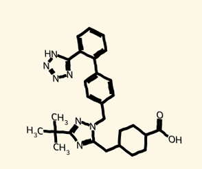 CC(C)(C)c1nc(CC2CCC(C(=O)O)CC2)n(Cc2ccc(-c3ccccc3-c3nnn[nH]3)cc2)n1